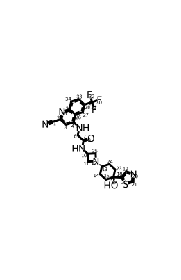 N#Cc1cc(NCC(=O)NC2CN([C@H]3CC[C@@](O)(c4cncs4)CC3)C2)c2cc(C(F)(F)F)ccc2n1